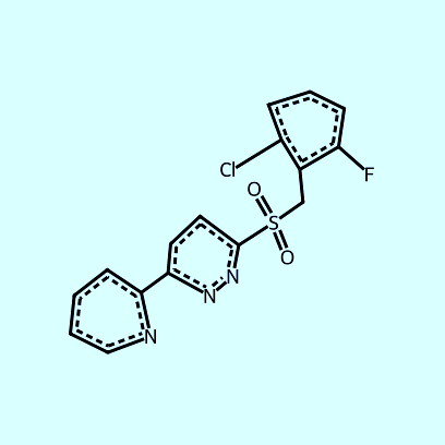 O=S(=O)(Cc1c(F)cccc1Cl)c1ccc(-c2ccccn2)nn1